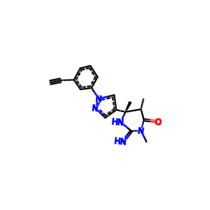 C#Cc1cccc(-n2cc([C@@]3(C)NC(=N)N(C)C(=O)C3C)cn2)c1